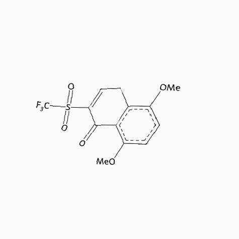 COc1ccc(OC)c2c1CC=C(S(=O)(=O)C(F)(F)F)C2=O